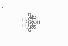 CC1=[N+](c2ccccc2)c2ccccc2/C1=C1/C(=O)C(c2c(C)n(-c3ccccc3)c3ccccc23)=C1O